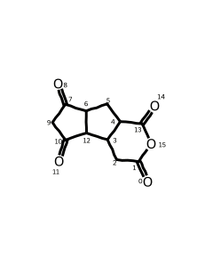 O=C1CC2C(CC3C(=O)CC(=O)C32)C(=O)O1